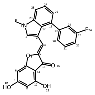 Cn1cc(C=C2Oc3cc(O)cc(O)c3C2=O)c2c(-c3cccc(F)c3)cccc21